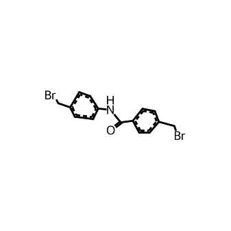 O=C(Nc1ccc(CBr)cc1)c1ccc(CBr)cc1